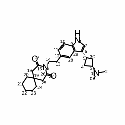 CN(C)[C@H]1C[C@H](c2c[nH]c3ccc(CCN4C(=O)CC5(CCCCC5)CC4=O)cc32)C1